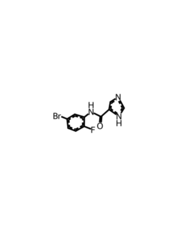 O=C(Nc1cc(Br)ccc1F)c1cnc[nH]1